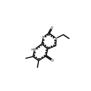 CCn1cc2c(=O)c(C)c(C)[nH]c2nc1=O